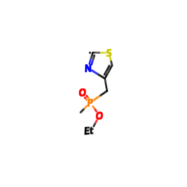 CCOP(C)(=O)Cc1cs[c]n1